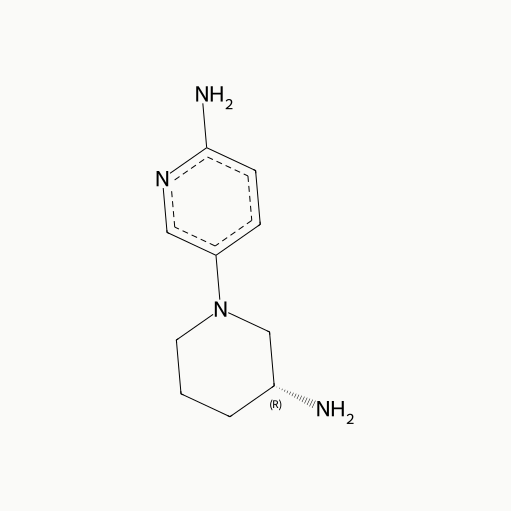 Nc1ccc(N2CCC[C@@H](N)C2)cn1